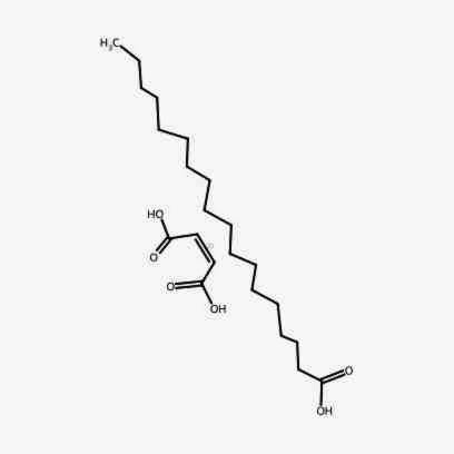 CCCCCCCCCCCCCCCCCC(=O)O.O=C(O)/C=C\C(=O)O